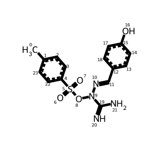 Cc1ccc(S(=O)(=O)ON(N=Cc2ccc(O)cc2)C(=N)N)cc1